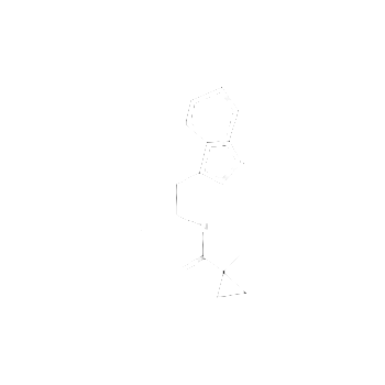 C[C@H](Cc1c[nH]c2ccccc12)NC(=O)C1(F)CC1